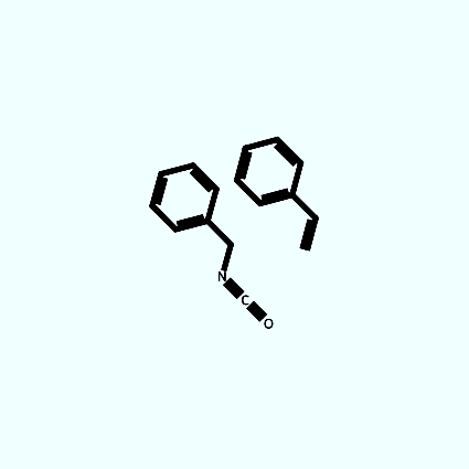 C=Cc1ccccc1.O=C=NCc1ccccc1